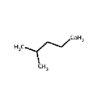 CC(C)C[CH2][GaH2]